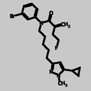 C=C(CCF)C(=O)N(CCCCCc1cc(C2CC2)n(C)n1)c1cccc(Br)c1